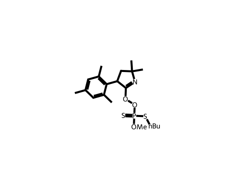 CCCCSP(=S)(OC)OOC1=NC(C)(C)CC1c1c(C)cc(C)cc1C